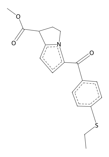 CCSc1ccc(C(=O)c2ccc3n2CCC3C(=O)OC)cc1